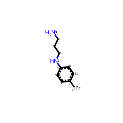 CC(C)c1ccc(NCCCN)cc1